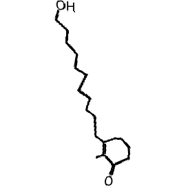 CC1=C(CCCCCCCCCCCO)CCCC1=O